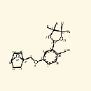 CC1(C)OB(c2cc(OCC34CCC(CC3)O4)ccc2F)OC1(C)C